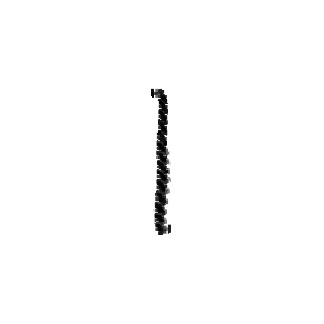 SSSSSSSSSSSSSSSSSSSSSSSSSSSS